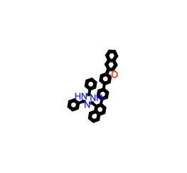 c1ccc(C2=NC(c3c(-c4ccc(-c5ccc6c(c5)oc5cc7ccccc7cc56)cc4)ccc4ccccc34)NC(c3ccccc3)N2)cc1